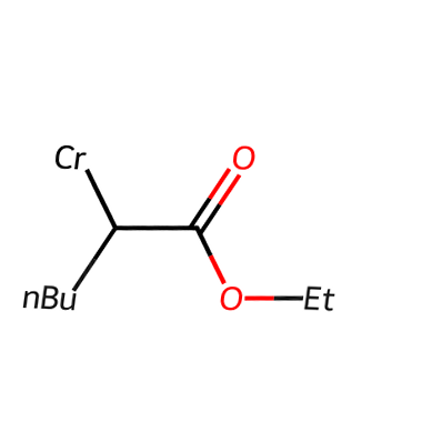 CCCC[CH]([Cr])C(=O)OCC